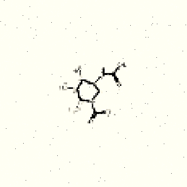 CC(=O)N[C@H]1CN(C(C)=O)[C@H](C)[C@@H](O)[C@@H]1O